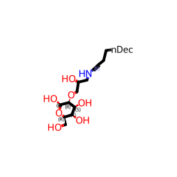 CCCCCCCCCCCC/C=C/NCC(O)CO[C@@H]1[C@@H](O)[C@@H](O)[C@@H](CO)O[C@H]1O